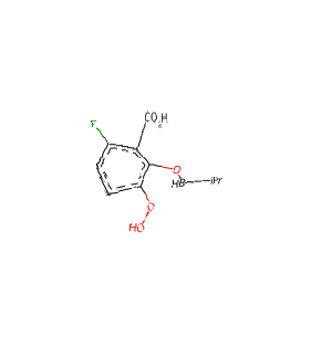 CC(C)BOc1c(OO)ccc(F)c1C(=O)O